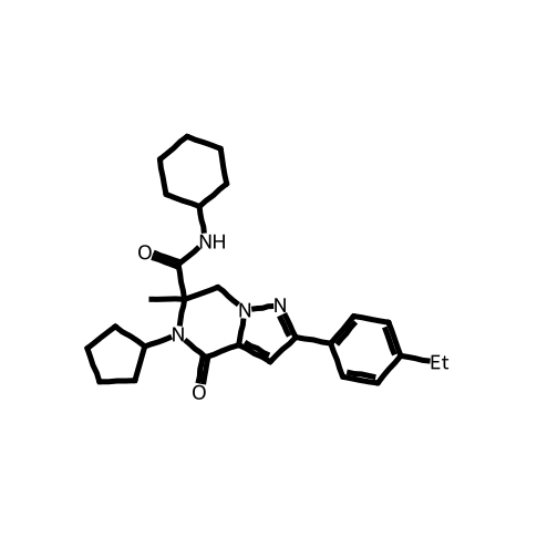 CCc1ccc(-c2cc3n(n2)CC(C)(C(=O)NC2CCCCC2)N(C2CCCC2)C3=O)cc1